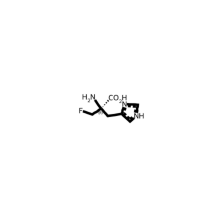 N[C@](CF)(Cc1c[nH]cn1)C(=O)O